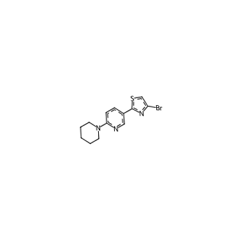 Brc1csc(-c2ccc(N3CCCCC3)nc2)n1